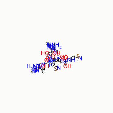 Cc1ncsc1-c1ccc(CNC(=O)[C@@H]2C[C@@H](O)CN2C(=O)[C@@H](NC(=O)[C@H]2C[C@H](N3CCC(c4cnc(N5C6CCC5CN(c5cc(-c7ccccc7O)nnc5N)C6)nc4)CC3)C2)C(C)(C)CCc2ncsc2-c2ccc(CNC(=O)[C@@H]3C[C@@H](O)CN3C(=O)[C@@H](NC(=O)[C@H]3CC[C@H](N4CCC(c5cnc(N6C7CCC6CN(c6cc(-c8ccccc8O)nnc6N)C7)nc5)CC4)CC3)C(C)(C)C)cc2)cc1